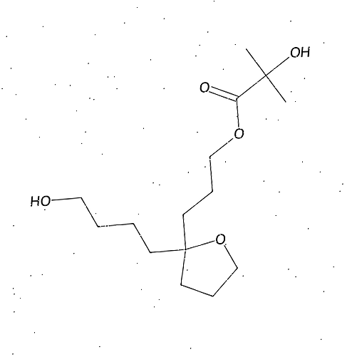 CC(C)(O)C(=O)OCCCC1(CCCCO)CCCO1